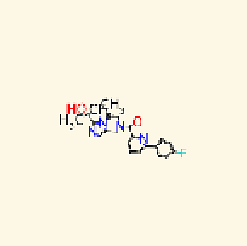 C[C@H]1CN(C(=O)c2cccc(-c3ccc(F)cc3)n2)Cc2cnc(C(C)(O)C(F)(F)F)n21